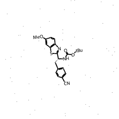 COc1ccc2nc([C@@H](Cc3ccc(C#N)cc3)NC(=O)OC(C)(C)C)sc2c1